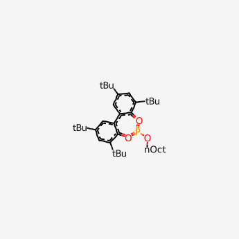 CCCCCCCCOp1oc2c(C(C)(C)C)cc(C(C)(C)C)cc2c2cc(C(C)(C)C)cc(C(C)(C)C)c2o1